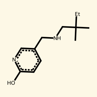 CCC(C)(C)CNCc1ccc(O)nc1